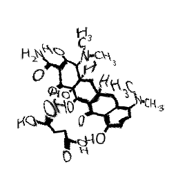 CN(C)c1ccc(O)c2c1C[C@H]1C[C@H]3[C@H](N(C)C)C(O)=C(C(N)=O)C(=O)[C@@]3(O)C(O)=C1C2=O.O=C(O)CCC(=O)O